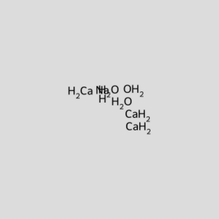 O.O.O.[CaH2].[CaH2].[CaH2].[NaH]